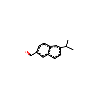 CC(C)c1ccc2cc(C=O)ccc2c1